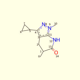 CC1Cc2c(C3CC3)nn(C)c2NC1=O